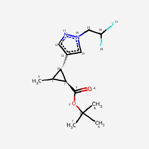 CC1[C@H](C(=O)OC(C)(C)C)[C@H]1c1cnn(CC(F)F)c1